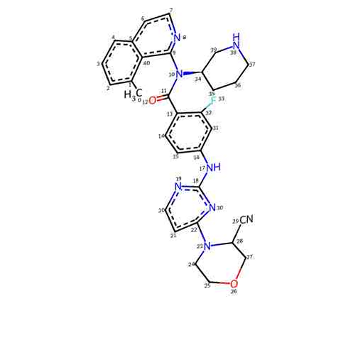 Cc1cccc2ccnc(N(C(=O)c3ccc(Nc4nccc(N5CCOCC5C#N)n4)cc3F)[C@@H]3CCCNC3)c12